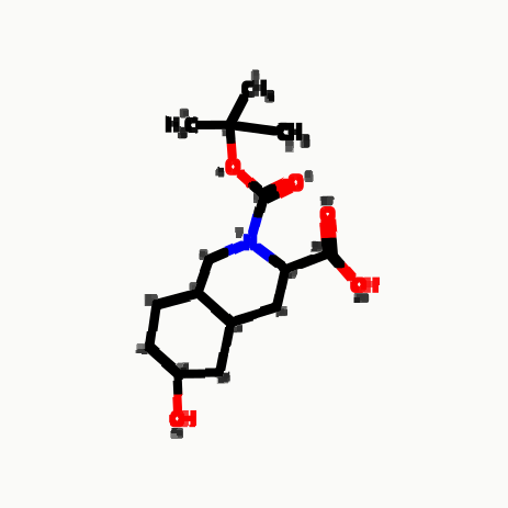 CC(C)(C)OC(=O)N1CC2CCC(O)CC2CC1C(=O)O